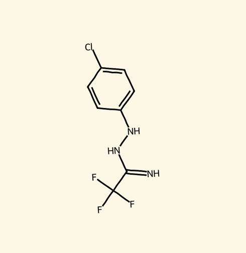 N=C(NNc1ccc(Cl)cc1)C(F)(F)F